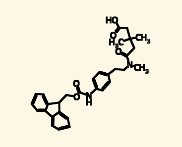 CN(CCc1ccc(NC(=O)OCC2c3ccccc3-c3ccccc32)cc1)C(=O)CC(C)(C)CC(=O)O